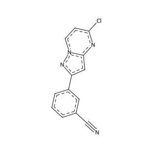 N#Cc1cccc(-c2cc3nc(Cl)ccn3n2)c1